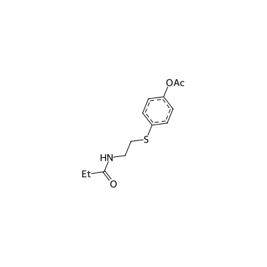 CCC(=O)NCCSc1ccc(OC(C)=O)cc1